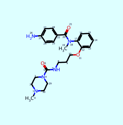 CN1CCN(C(=O)NCCCOc2ccccc2N(C)C(=O)c2ccc(N)cc2)CC1